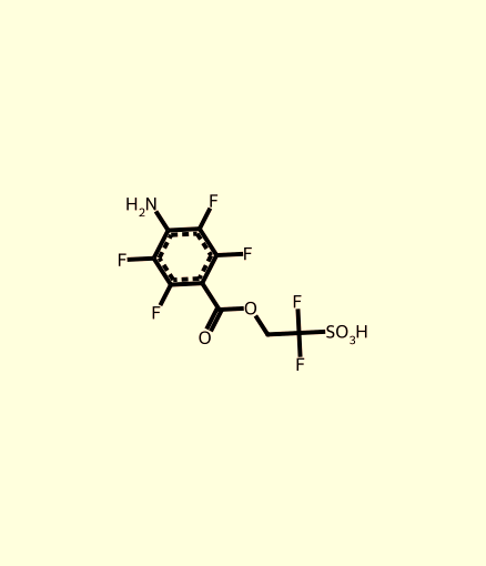 Nc1c(F)c(F)c(C(=O)OCC(F)(F)S(=O)(=O)O)c(F)c1F